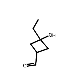 CCC1(O)CC(C=O)C1